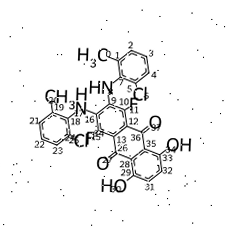 Cc1cccc(Cl)c1Nc1c(F)c2c(c(F)c1Nc1c(C)cccc1Cl)C(=O)c1c(O)ccc(O)c1C2=O